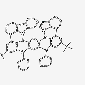 CC(C)(C)c1cc2c3c(c1)N(c1ccccc1)c1cc4c(cc1B3n1c3ccccc3c3cccc-2c31)B1c2c(cc(C(C)(C)C)cc2N4c2ccccc2)-c2cccc3c4ccccc4n1c23